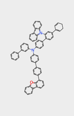 C1=CC(c2ccc(-c3ccc(N(c4ccc(-c5ccc(-c6cccc7c6oc6ccccc67)cc5)cc4)c4cccc(-c5ccccc5)c4)cc3)c(-n3c4ccccc4c4ccccc43)c2)=CCC1